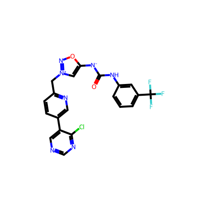 O=C([N-]c1c[n+](Cc2ccc(-c3cncnc3Cl)cn2)no1)Nc1cccc(C(F)(F)F)c1